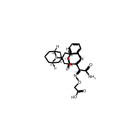 NC(=O)/C(=N\OCC(=O)O)c1nc2ccccc2n([C@H]2C[C@H]3CCC[C@@H](C2)N3C2C[C@H]3CCC[C@@H](C2)C3)c1=O